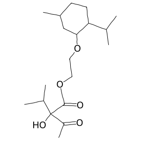 CC(=O)C(O)(C(=O)OCCOC1CC(C)CCC1C(C)C)C(C)C